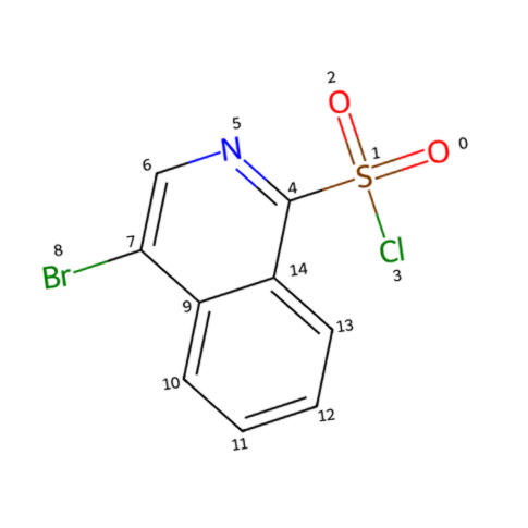 O=S(=O)(Cl)c1ncc(Br)c2ccccc12